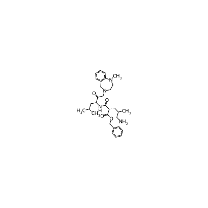 CC(C)C[C@H](NC(=O)[C@H](CC(C)CN)C(=O)OCc1ccccc1)C(=O)CN1CCN(C)c2ccccc2C1